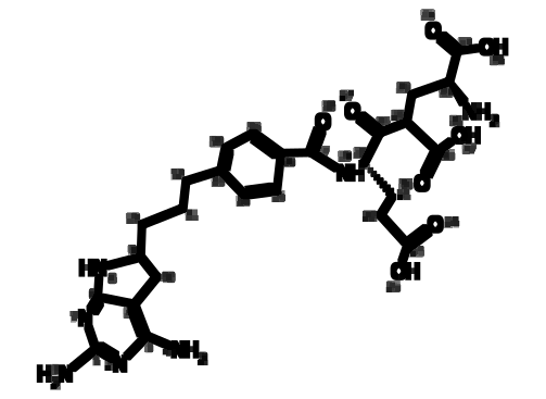 Nc1nc(N)c2c(n1)NC(CCCc1ccc(C(=O)N[C@@H](CCC(=O)O)C(=O)C(C[C@H](N)C(=O)O)C(=O)O)cc1)C2